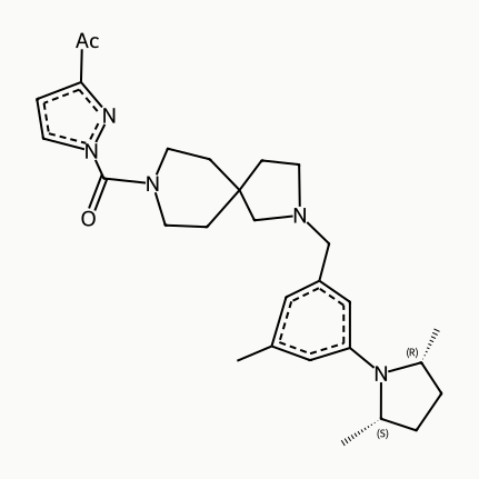 CC(=O)c1ccn(C(=O)N2CCC3(CCN(Cc4cc(C)cc(N5[C@H](C)CC[C@@H]5C)c4)C3)CC2)n1